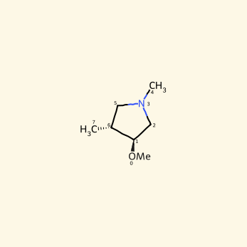 CO[C@@H]1CN(C)C[C@H]1C